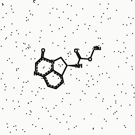 CC(C)(C)OC(=O)N[C@@H]1Cn2c(=O)cnc3cccc1c32